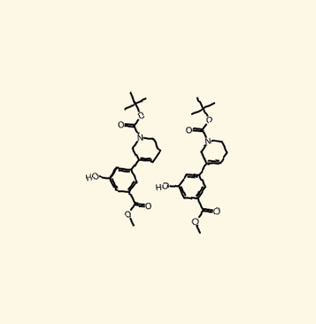 COC(=O)c1cc(O)cc(C2=CCCN(C(=O)OC(C)(C)C)C2)c1.COC(=O)c1cc(O)cc(C2=CCCN(C(=O)OC(C)(C)C)C2)c1